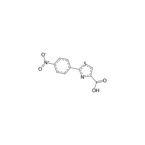 O=C(O)c1csc(-c2ccc([N+](=O)[O-])cc2)n1